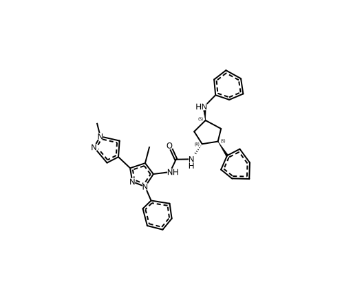 Cc1c(-c2cnn(C)c2)nn(-c2ccccc2)c1NC(=O)N[C@@H]1C[C@@H](Nc2ccccc2)C[C@H]1c1ccccc1